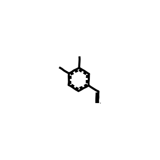 [CH]=Cc1ccc(C)c(C)c1